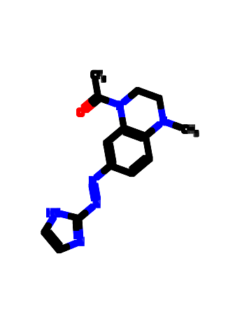 CN1CCN(C(=O)C(F)(F)F)c2cc(/N=N/c3ncc[nH]3)ccc21